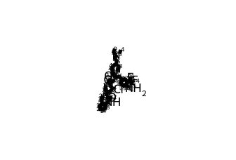 CCN(CC)CCC1CCN(C(=O)[C@H](CC(=O)N2CCC(N3CCc4ccccc4NC3=O)CC2)Cc2cc(Cl)c(N)c(C(F)(F)F)c2)CC1